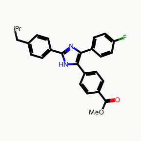 COC(=O)c1ccc(-c2[nH]c(-c3ccc(CC(C)C)cc3)nc2-c2ccc(F)cc2)cc1